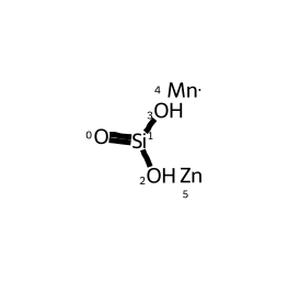 O=[Si](O)O.[Mn].[Zn]